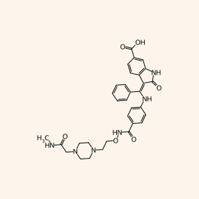 CNC(=O)CN1CCN(CCONC(=O)c2ccc(N/C(=C3\C(=O)Nc4cc(C(=O)O)ccc43)c3ccccc3)cc2)CC1